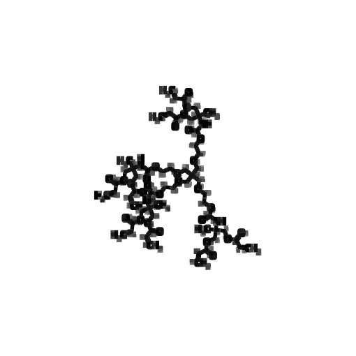 C=CC(=O)OCC(C)(COC(=O)C=C)NC(=O)OCCOCC(COCCOC(=O)NC(C)(COC(=O)C=C)COC(=O)C=C)(COCCOC(=O)NC(C)(COC(=O)C=C)COC(=O)C=C)COCCOC(=O)NC(C)(COC(=O)C=C)COC(=O)C=C